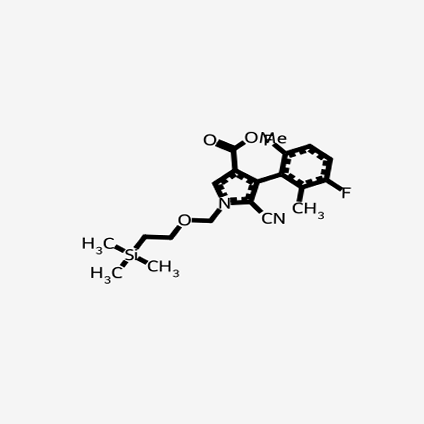 COC(=O)c1cn(COCC[Si](C)(C)C)c(C#N)c1-c1c(F)ccc(F)c1C